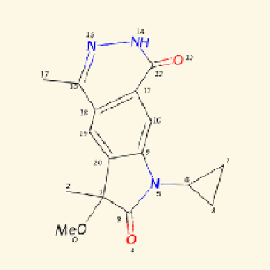 COC1(C)C(=O)N(C2CC2)c2cc3c(=O)[nH]nc(C)c3cc21